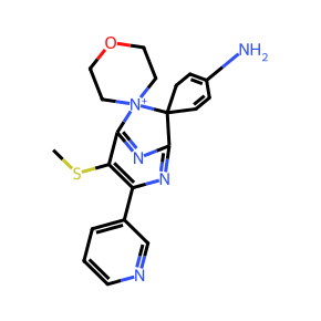 CSc1c(-c2cccnc2)nc2nc1[N+]1(CCOCC1)C21C=CC(N)=CC1